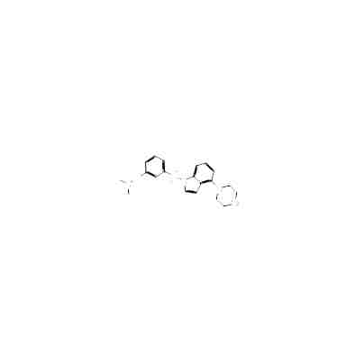 CN(C)S(=O)(=O)c1cccc(S(=O)(=O)n2ccc3c(N4CCNCC4)cccc32)c1